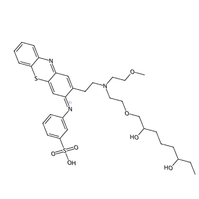 CCC(O)CCCC(O)COCCN(CCOC)CCc1cc2nc3ccccc3sc-2c/c1=N\c1cccc(S(=O)(=O)O)c1